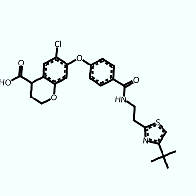 CC(C)(C)c1csc(CCNC(=O)c2ccc(Oc3cc4c(cc3Cl)C(C(=O)O)CCO4)cc2)n1